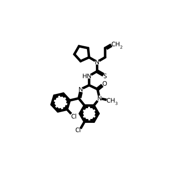 C=CCN(C(=S)NC1N=C(c2ccccc2Cl)c2cc(Cl)ccc2N(C)C1=O)C1CCCC1